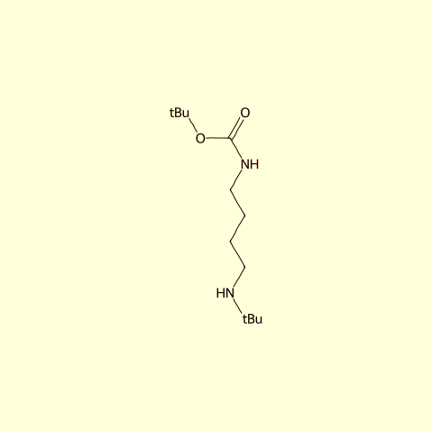 CC(C)(C)NCCCCNC(=O)OC(C)(C)C